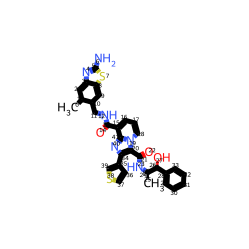 CC1C=c2nc(N)sc2=CC1CNC(=O)c1cccn2c(C(=O)N[C@H](C)[C@@H](O)c3ccccc3)c(-c3ccsc3)nc12